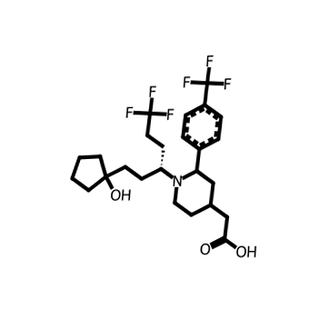 O=C(O)CC1CCN([C@@H](CCC(F)(F)F)CCC2(O)CCCC2)C(c2ccc(C(F)(F)F)cc2)C1